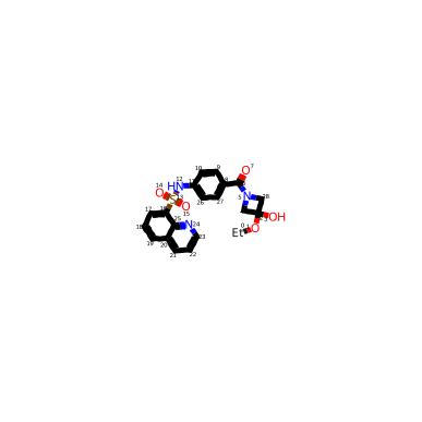 CCOC1(O)CN(C(=O)c2ccc(NS(=O)(=O)c3cccc4cccnc34)cc2)C1